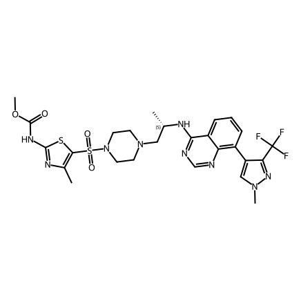 COC(=O)Nc1nc(C)c(S(=O)(=O)N2CCN(C[C@H](C)Nc3ncnc4c(-c5cn(C)nc5C(F)(F)F)cccc34)CC2)s1